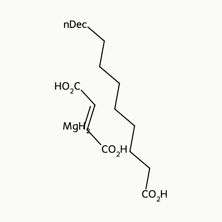 CCCCCCCCCCCCCCCCCC(=O)O.O=C(O)C=CC(=O)O.[MgH2]